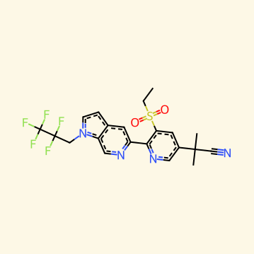 CCS(=O)(=O)c1cc(C(C)(C)C#N)cnc1-c1cc2ccn(CC(F)(F)C(F)(F)F)c2cn1